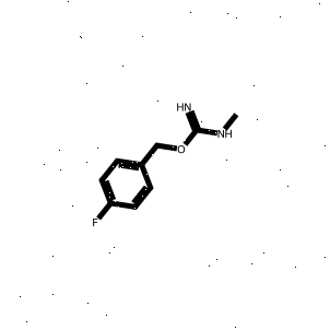 CNC(=N)OCc1ccc(F)cc1